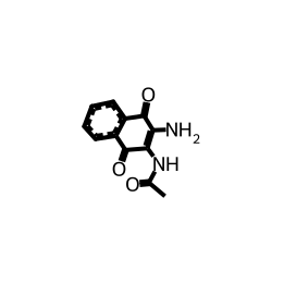 CC(=O)NC1=C(N)C(=O)c2ccccc2C1=O